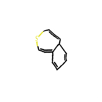 C1=CC2=CSC=CC2C=C1